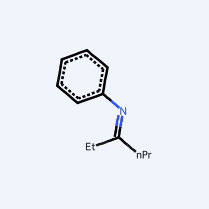 CCCC(CC)=Nc1ccccc1